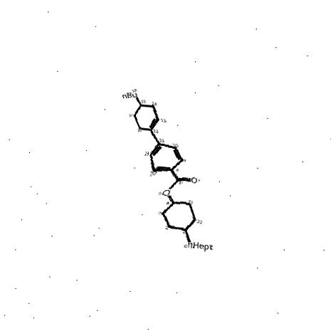 CCCCCCCC1CCC(OC(=O)c2ccc(C3=CCC(CCCC)CC3)cc2)CC1